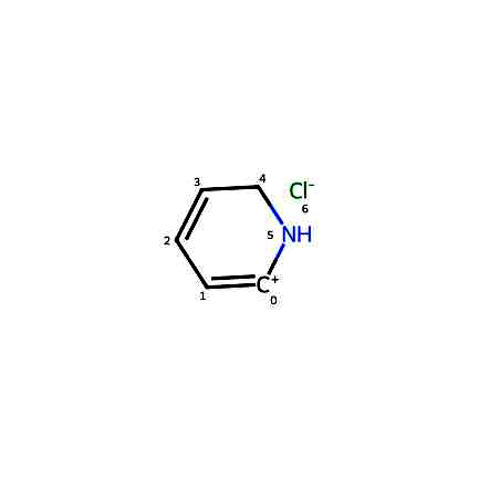 [C+]1=CC=CCN1.[Cl-]